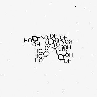 C[C@H]1O[C@H](O[C@@H]2[C@@H](O)[C@H](OCCc3ccc(O)c(O)c3)O[C@H](CO[C@H]3OCC(O)(CO)[C@@H]3O)[C@H]2OC(=O)/C=C/c2ccc(O)c(O)c2)[C@@H](O)[C@@H](O)[C@@H]1O